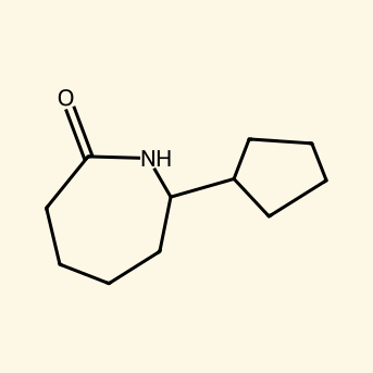 O=C1CCCCC(C2CCCC2)N1